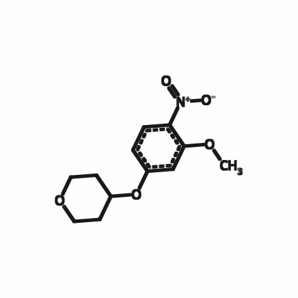 COc1cc(OC2CCOCC2)ccc1[N+](=O)[O-]